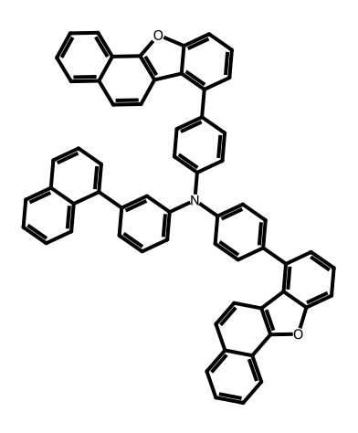 c1cc(-c2cccc3ccccc23)cc(N(c2ccc(-c3cccc4oc5c6ccccc6ccc5c34)cc2)c2ccc(-c3cccc4oc5c6ccccc6ccc5c34)cc2)c1